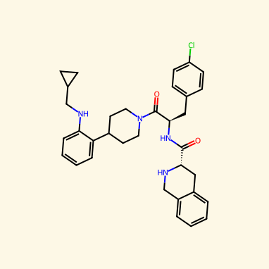 O=C(N[C@H](Cc1ccc(Cl)cc1)C(=O)N1CCC(c2ccccc2NCC2CC2)CC1)[C@@H]1Cc2ccccc2CN1